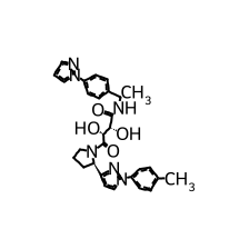 Cc1ccc(-n2ccc([C@H]3CCCN3C(=O)[C@H](O)[C@@H](O)C(=O)N[C@H](C)c3ccc(-n4cccn4)cc3)n2)cc1